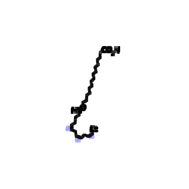 CC/C=C\C/C=C\C/C=C\CCCNOCCCCCCCCCCCCCCCC(=O)O